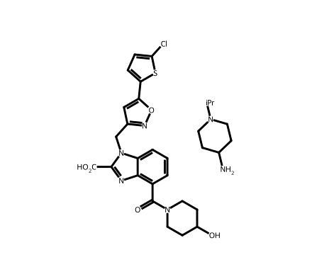 CC(C)N1CCC(N)CC1.O=C(O)c1nc2c(C(=O)N3CCC(O)CC3)cccc2n1Cc1cc(-c2ccc(Cl)s2)on1